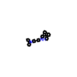 c1ccc(C2(c3ccccc3)c3ccccc3-c3ccc(Nc4ccc(-c5ccc(-n6c7ccccc7c7ccccc76)cc5)cc4)cc32)cc1